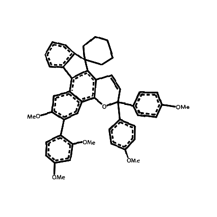 COc1ccc(C2(c3ccc(OC)cc3)C=Cc3c4c(c5cc(OC)c(-c6ccc(OC)cc6OC)cc5c3O2)-c2ccccc2C42CCCCC2)cc1